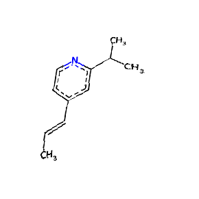 C/C=C/c1ccnc(C(C)C)c1